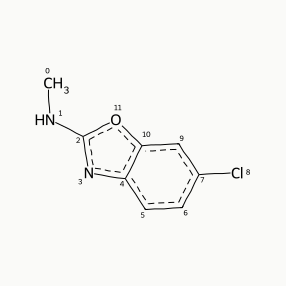 CNc1nc2ccc(Cl)cc2o1